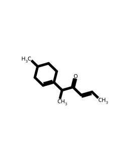 C/C=C/C(=O)C(C)C1=CCC(C)CC1